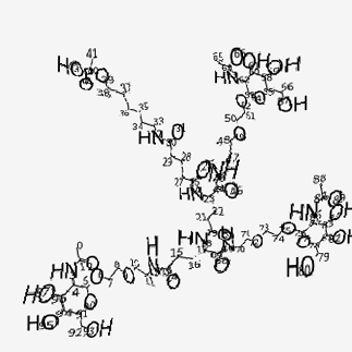 CC(=O)NC1C(OCCOCCNC(=O)CC[C@H](NC(=O)CC[C@H](NC(=O)CCCC(=O)NCCCCCCOP(C)(=O)O)C(=O)NCCOCCOC2OC(CO)C(O)C(O)C2NC(C)=O)C(=O)NCCOCCOC2OC(CO)C(O)C(O)C2NC(C)=O)OC(CO)C(O)C1O